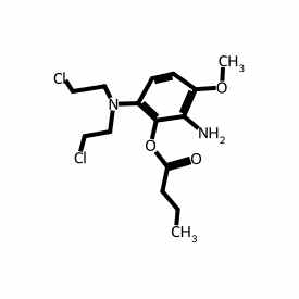 CCCC(=O)Oc1c(N(CCCl)CCCl)ccc(OC)c1N